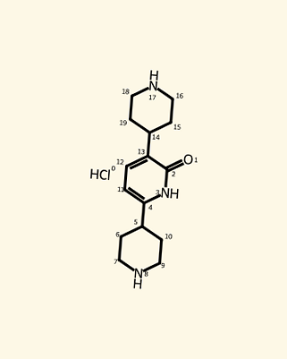 Cl.O=c1[nH]c(C2CCNCC2)ccc1C1CCNCC1